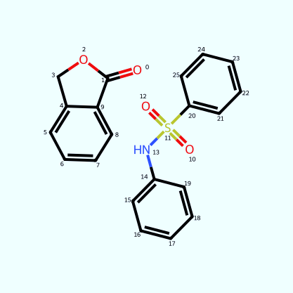 O=C1OCc2ccccc21.O=S(=O)(Nc1ccccc1)c1ccccc1